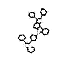 c1ccc(-c2nc3ccccn3c2-c2ccc(-n3c4ccccc4c4c5sc(-c6ccccc6)c(-c6ccccc6)c5ccc43)cc2)cc1